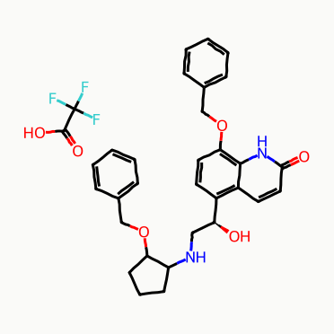 O=C(O)C(F)(F)F.O=c1ccc2c([C@@H](O)CNC3CCCC3OCc3ccccc3)ccc(OCc3ccccc3)c2[nH]1